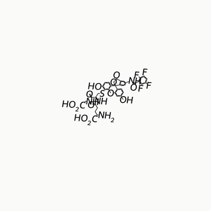 NC(CCC(=O)NC(CSc1c(O)ccc2c1Oc1cc(O)ccc1C21OC(=O)c2cc(NC(=O)c3c(F)c(F)cc(F)c3F)ccc21)C(=O)NCC(=O)O)C(=O)O